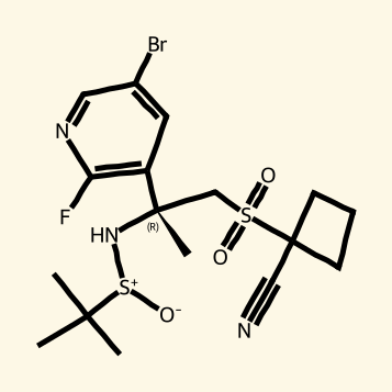 CC(C)(C)[S+]([O-])N[C@@](C)(CS(=O)(=O)C1(C#N)CCC1)c1cc(Br)cnc1F